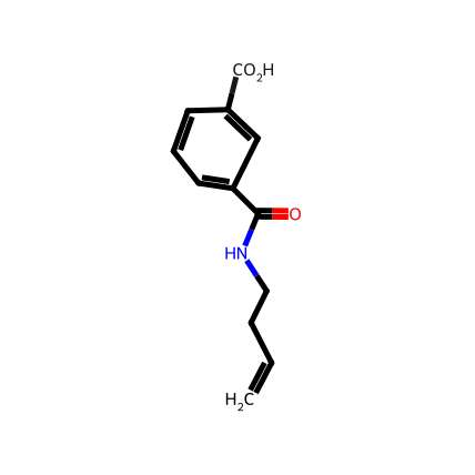 C=CCCNC(=O)c1cccc(C(=O)O)c1